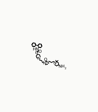 CC1(C)CC(N)CCN1CCCN1CCN(CCCN2CCC(OC(=O)Nc3ccccc3-c3ccccc3)CC2)C1=O